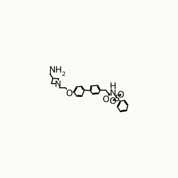 NCC1CN(CCOc2ccc(-c3ccc(CC(=O)NS(=O)(=O)c4ccccc4)cc3)cc2)C1